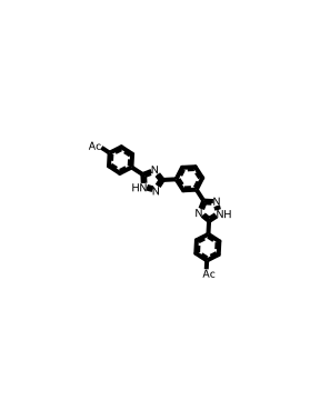 CC(=O)c1ccc(-c2nc(-c3cccc(-c4n[nH]c(-c5ccc(C(C)=O)cc5)n4)c3)n[nH]2)cc1